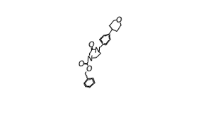 O=C(OCc1ccccc1)N1CCN(c2ccc(C3CCOCC3)cc2)C(=O)C1